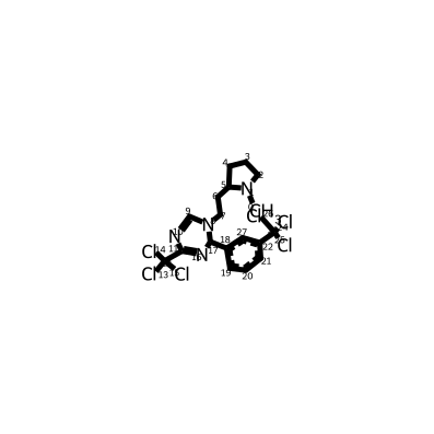 CN1CCCC1CCN1C=NC(C(Cl)(Cl)Cl)=NC1c1cccc(C(Cl)(Cl)Cl)c1